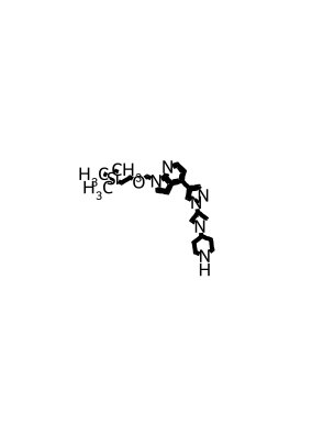 C[Si](C)(C)CCOCn1ccc2c(-c3cnn([C]4CN(C5CCNCC5)C4)c3)ccnc21